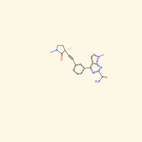 CN1CC[C@@](C)(C#Cc2cccc(-c3nc(C(N)=O)nc4c3ccn4C)c2)C1=O